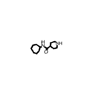 O=C(NC1CCCCCC1)C1CCNCC1